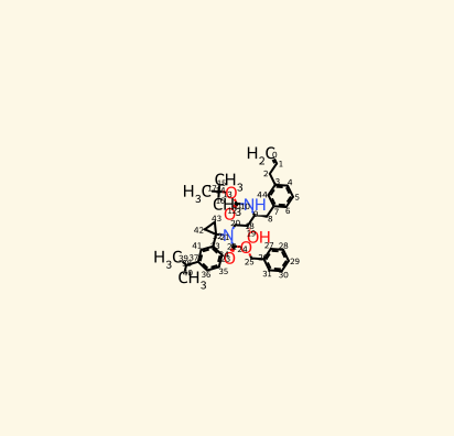 C=CCc1cccc(C[C@H](NC(=O)OC(C)(C)C)[C@H](O)CN(C(=O)OCc2ccccc2)C2(c3cccc(C(C)C)c3)CC2)c1